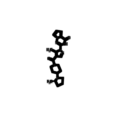 Cc1c(C(=O)N2CCC(N3CCC[C@@H]3C(F)(F)F)CC2)cnn1-c1nn2cccc2c(=O)[nH]1